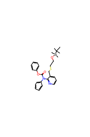 CC(C)(C)[Si](C)(C)OCCSCc1cccnc1N(C(=O)Oc1ccccc1)c1ccccc1